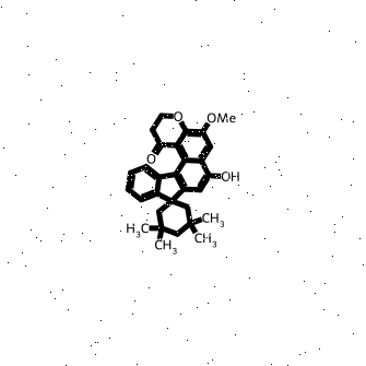 COc1cc2c(O)cc3c(c2c2c1OCCC2=O)-c1ccccc1C31CC(C)(C)CC(C)(C)C1